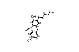 C=CCc1cc(O)c(CCCCCC)cc1Cc1ccc(Cl)cc1